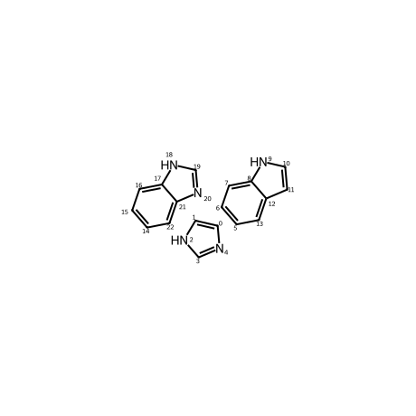 c1c[nH]cn1.c1ccc2[nH]ccc2c1.c1ccc2[nH]cnc2c1